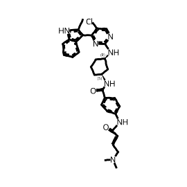 Cc1[nH]c2ccccc2c1-c1nc(N[C@@H]2CCC[C@H](NC(=O)c3ccc(NC(=O)C=CCN(C)C)cc3)C2)ncc1Cl